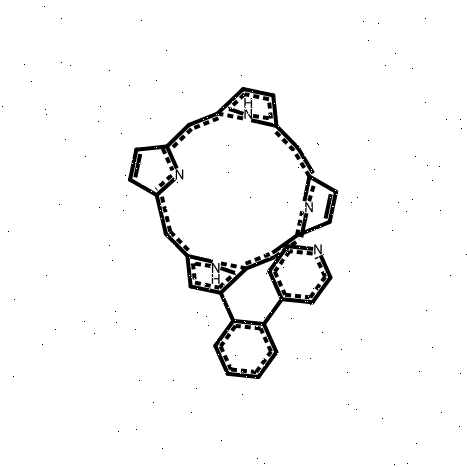 C1=Cc2cc3cc(-c4ccccc4-c4ccncc4)c(cc4nc(cc5ccc(cc1n2)[nH]5)C=C4)[nH]3